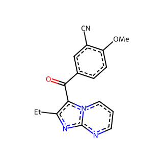 CCc1nc2ncccn2c1C(=O)c1ccc(OC)c(C#N)c1